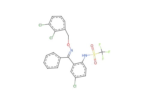 O=S(=O)(Nc1ccc(Cl)cc1/C(=N/OCc1cccc(Cl)c1Cl)c1ccccc1)C(F)(F)F